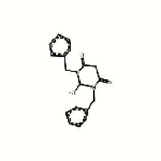 O=C1CC(=O)N(Cc2ccccc2)C(O)N1Cc1ccccc1